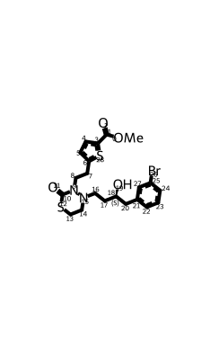 COC(=O)c1ccc(CCN2C(=O)SCCN2CC[C@@H](O)Cc2cccc(Br)c2)s1